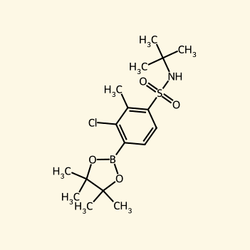 Cc1c(S(=O)(=O)NC(C)(C)C)ccc(B2OC(C)(C)C(C)(C)O2)c1Cl